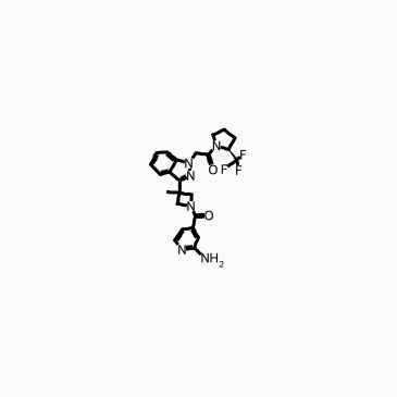 CC1(c2nn(CC(=O)N3CCC[C@H]3C(F)(F)F)c3ccccc23)CN(C(=O)c2ccnc(N)c2)C1